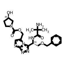 CC(C)(N)C(=O)N[C@H](COCc1ccccc1)c1nnc2scc(COC(=O)N3CC[C@@H](O)C3)n12